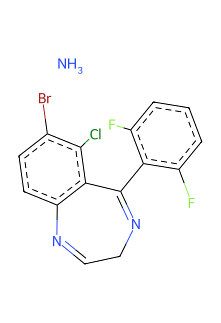 Fc1cccc(F)c1C1=NCC=Nc2ccc(Br)c(Cl)c21.N